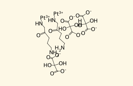 NCCCC(=O)C[NH][Pt+3].NCCCC(=O)C[NH][Pt+3].O=C([O-])C(O)(O)C(=O)[O-].O=C([O-])C(O)(O)C(=O)[O-].O=C([O-])C(O)(O)C(=O)[O-]